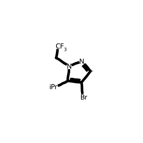 CC(C)c1c(Br)[c]nn1CC(F)(F)F